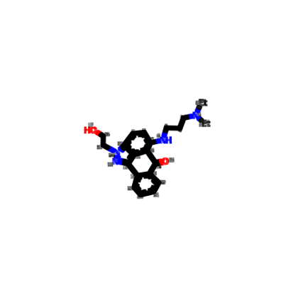 CCN(CC)CCCNc1ccc2c3c(nn2CCO)-c2ccccc2C(=O)c13